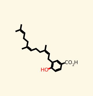 CC(C)=CCCC(C)=CCCC(C)=CCc1cc(C(=O)O)ccc1O